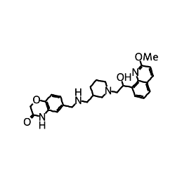 COc1ccc2cccc(C(O)CN3CCCC(CNCc4ccc5c(c4)NC(=O)CO5)C3)c2n1